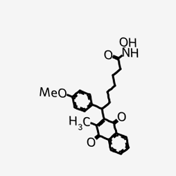 COc1ccc(C(CCCCCC(=O)NO)C2=C(C)C(=O)c3ccccc3C2=O)cc1